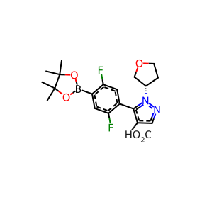 CC1(C)OB(c2cc(F)c(-c3c(C(=O)O)cnn3[C@H]3CCOC3)cc2F)OC1(C)C